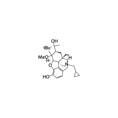 C=C[C@]12C[C@H]([C@](C)(O)C(C)(C)C)C(C)(OC)[C@@H]3Oc4c(O)ccc5c4[C@@]31CCN(CC1CC1)[C@@H]2C5